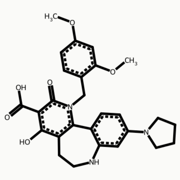 COc1ccc(Cn2c3c(c(O)c(C(=O)O)c2=O)CCNc2cc(N4CCCC4)ccc2-3)c(OC)c1